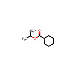 O=C(OC(C(F)(F)F)S(=O)(=O)O)C1CCCCC1